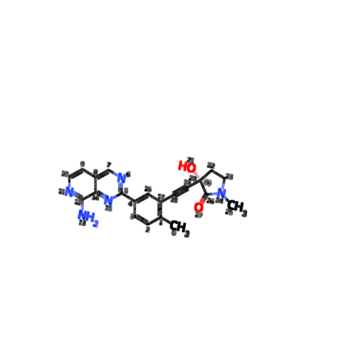 Cc1ccc(-c2ncc3ccnc(N)c3n2)cc1C#C[C@@]1(O)CCN(C)C1=O